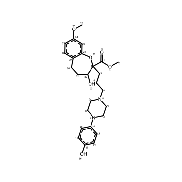 COC(=O)C1(CCCN2CCN(c3ccc(O)cc3)CC2)Oc2cc(OC)ccc2CCC1O